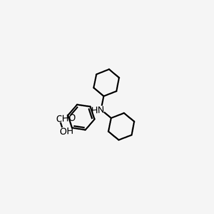 C1CCC(NC2CCCCC2)CC1.O=CO.c1ccccc1